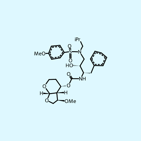 COc1ccc(S(=O)(=O)N(CC(C)C)C[C@@H](O)[C@H](Cc2ccccc2)NC(=O)O[C@H]2CCO[C@H]3OC[C@H](OC)[C@H]32)cc1